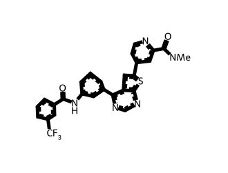 CNC(=O)c1cc(-c2cc3c(-c4cccc(NC(=O)c5cccc(C(F)(F)F)c5)c4)ncnc3s2)ccn1